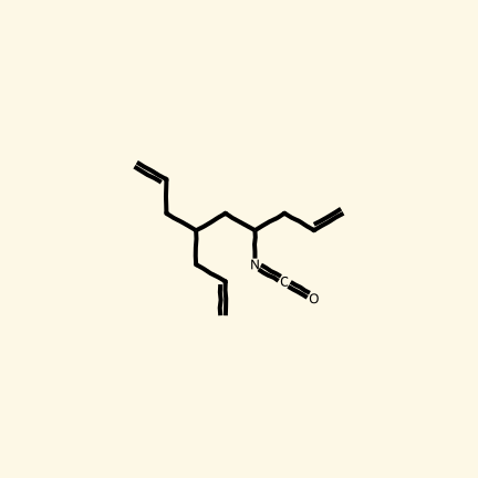 C=CCC(CC=C)CC(CC=C)N=C=O